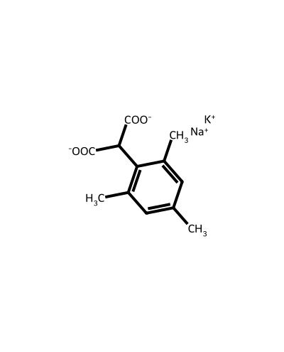 Cc1cc(C)c(C(C(=O)[O-])C(=O)[O-])c(C)c1.[K+].[Na+]